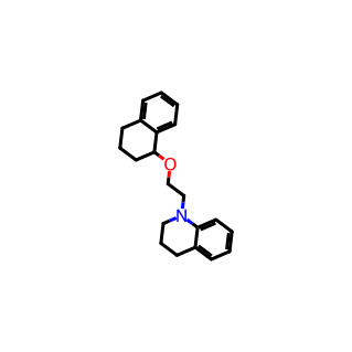 c1ccc2c(c1)CCCC2OCCN1CCCc2ccccc21